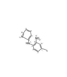 Cc1ccc(Nc2ccccn2)c([N+](=O)[O-])c1